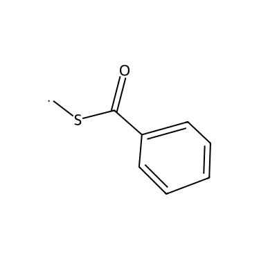 [CH2]SC(=O)c1ccccc1